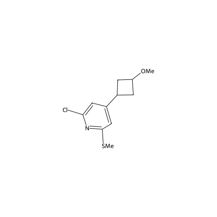 COC1CC(c2cc(Cl)nc(SC)c2)C1